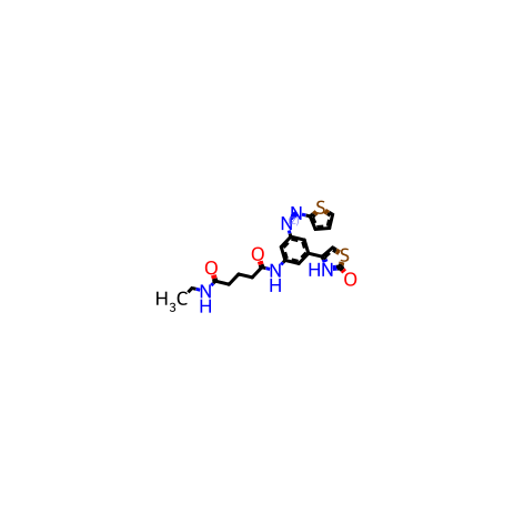 CCNC(=O)CCCC(=O)Nc1cc(/N=N\c2cccs2)cc(-c2csc(=O)[nH]2)c1